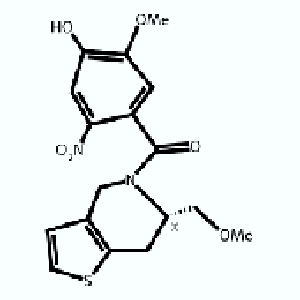 COC[C@@H]1Cc2sccc2CN1C(=O)c1cc(OC)c(O)cc1[N+](=O)[O-]